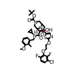 COc1cccc(CN(C(=O)C2=C(c3cnc(OCCOc4c(F)ccc(Cl)c4F)s3)CC3CN(C(=O)OC(C)(C)C)C[C@H]2N3C(=O)O)C2CC2)c1C